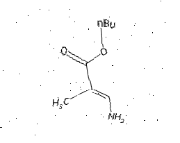 CCCCOC(=O)C(C)=CN